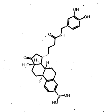 C[C@]12CC[C@@H]3c4ccc(B(O)O)cc4CC[C@H]3[C@@H]1[C@@H](CCCC(=O)NCc1ccc(O)c(O)c1)CC2=O